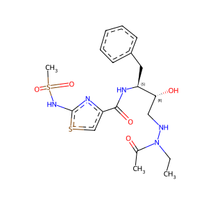 CCN(NC[C@@H](O)[C@H](Cc1ccccc1)NC(=O)c1csc(NS(C)(=O)=O)n1)C(C)=O